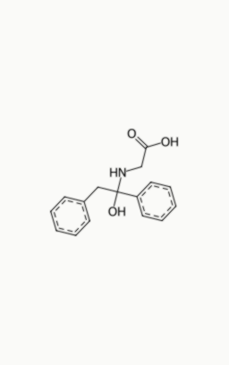 O=C(O)CNC(O)(Cc1ccccc1)c1ccccc1